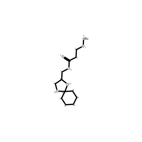 CCCCOCCC(=O)OCC1COC2(CCCCC2)O1